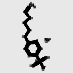 C=COCCOc1ccc(S(=O)(=O)[O-])cc1.[Na+]